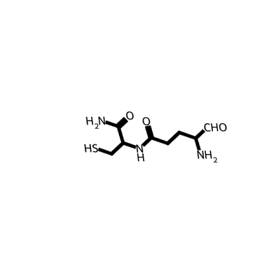 NC(=O)C(CS)NC(=O)CCC(N)C=O